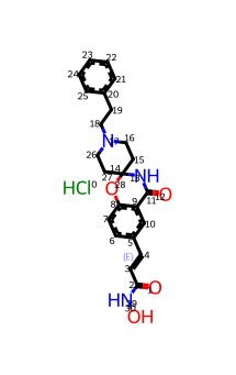 Cl.O=C(/C=C/c1ccc2c(c1)C(=O)NC1(CCN(CCc3ccccc3)CC1)O2)NO